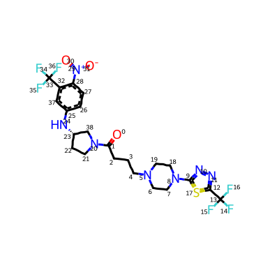 O=C(CCCN1CCN(c2nnc(C(F)(F)F)s2)CC1)N1CC[C@H](Nc2ccc([N+](=O)[O-])c(C(F)(F)F)c2)C1